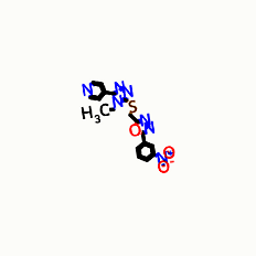 CCn1c(SCc2nnc(-c3cccc([N+](=O)[O-])c3)o2)nnc1-c1ccncc1